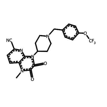 Cn1c(=O)c(=O)n(C2CCN(Cc3ccc(OC(F)(F)F)cc3)CC2)c2nc(C#N)ccc21